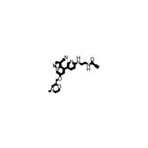 C#CC(=O)NCCNc1ccc(-c2cc(OC[C@@H]3CN(C)CCO3)cn3ncc(C#N)c23)cn1